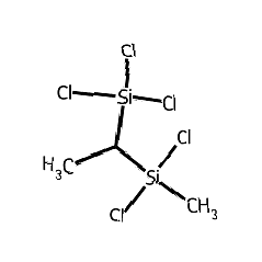 CC([Si](C)(Cl)Cl)[Si](Cl)(Cl)Cl